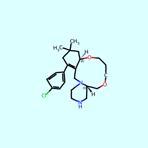 CC1(C)CC(c2ccc(Cl)cc2)=C2CN3CCNC[C@H]3COCCCO[C@@H]2C1